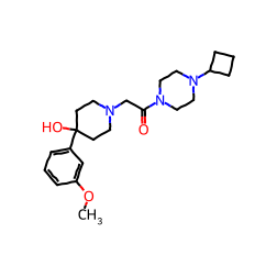 COc1cccc(C2(O)CCN(CC(=O)N3CCN(C4CCC4)CC3)CC2)c1